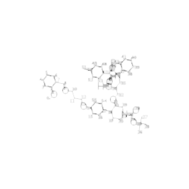 COc1ccccc1COCCCOc1ccc(C2CCN(C(=O)OC(C)(C)C)CC2OCC(O)CN(c2ccccc2F)S(=O)(=O)c2ccc(C)cc2)cc1